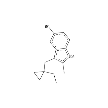 CCC1(Cc2c(I)[nH]c3ccc(Br)cc23)CC1